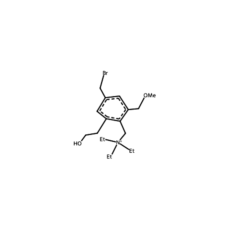 CC[N+](CC)(CC)Cc1c(CCO)cc(CBr)cc1COC